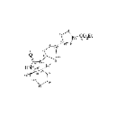 CCOC(=O)N1CC[C@@H](N2CCC(N3C(=O)N[C@H]4CCCC[C@@H]43)CC2)C1